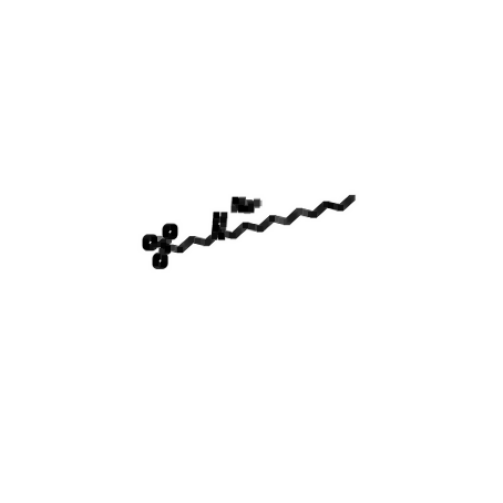 CCCCCCCCCCNCCCS(=O)(=O)[O-].[Na+]